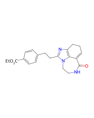 CCOC(=O)c1ccc(CCc2nc3c4n2CCNC(=O)C4=CCC3)cc1